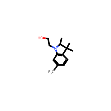 CC1N(CCO)c2cc(C(F)(F)F)ccc2C1(C)C